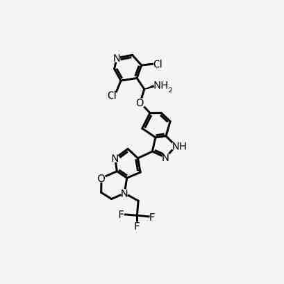 N[C@@H](Oc1ccc2[nH]nc(-c3cnc4c(c3)N(CC(F)(F)F)CCO4)c2c1)c1c(Cl)cncc1Cl